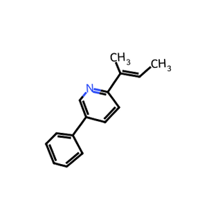 C/C=C(\C)c1ccc(-c2ccccc2)cn1